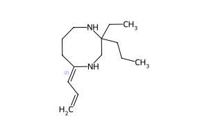 C=C/C=C1/CCCNC(CC)(CCC)CN1